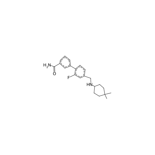 CC1(C)CCC(NCc2ccc(-c3cccc(C(N)=O)c3)c(F)c2)CC1